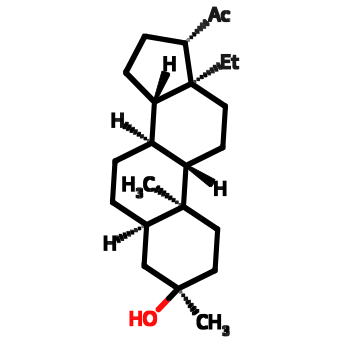 CC[C@]12CC[C@H]3[C@@H](CC[C@@H]4C[C@](C)(O)CC[C@@]43C)[C@@H]1CC[C@@H]2C(C)=O